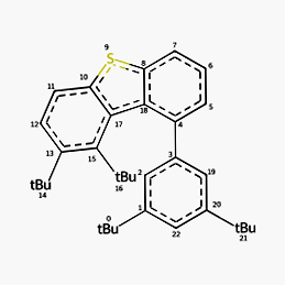 CC(C)(C)c1cc(-c2cccc3sc4ccc(C(C)(C)C)c(C(C)(C)C)c4c23)cc(C(C)(C)C)c1